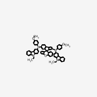 CCn1c2ccccc2c2cc(N(c3ccc(OC)cc3)c3ccc4c(c3)C3(c5ccccc5Oc5ccccc53)c3cc(N(c5ccc(OC)cc5)c5ccc6c(c5)c5ccccc5n6CC)ccc3-4)ccc21